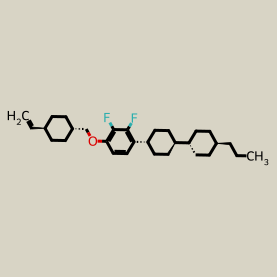 C=C[C@H]1CC[C@H](COc2ccc([C@H]3CC[C@H]([C@H]4CC[C@H](CCC)CC4)CC3)c(F)c2F)CC1